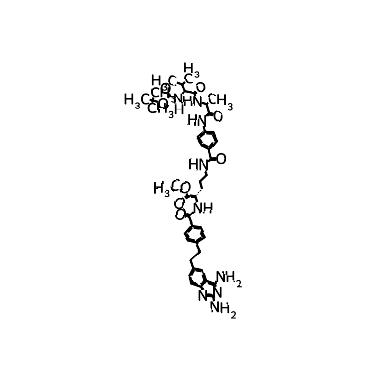 COC(=O)[C@H](CCCNC(=O)c1ccc(NC(=O)[C@H](C)NC(=O)[C@@H](NC(=O)OC(C)(C)C)C(C)C)cc1)NC(=O)c1ccc(CCc2ccc3nc(N)nc(N)c3c2)cc1